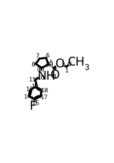 CCOC(=O)[C@H]1CCC[C@H]1NCc1ccc(F)cc1